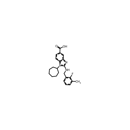 Cc1cccc(CNc2nc3cc(C(=O)O)ccc3n2C2CCCCCC2)c1F